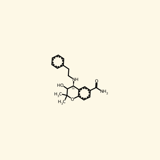 CC1(C)Oc2ccc(C(N)=O)cc2[C@H](NCCc2ccccc2)C1O